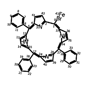 Brc1c2nc(c(-c3ccccc3)c3ccc([nH]3)c(-c3ccccc3)c3nc(c(-c4ccccc4)c4ccc1[nH]4)C=C3)C=C2.[Fe]